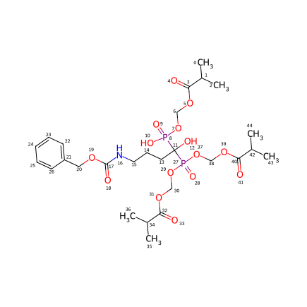 CC(C)C(=O)OCOP(=O)(O)C(O)(CCCNC(=O)OCc1ccccc1)P(=O)(OCOC(=O)C(C)C)OCOC(=O)C(C)C